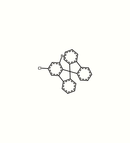 Clc1cc(Br)c2c(c1)-c1ccccc1C21c2ccccc2-c2ccccc21